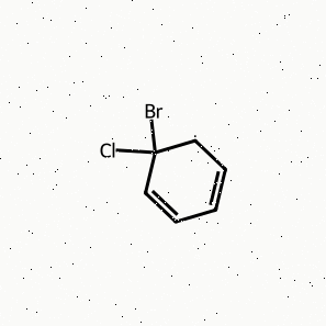 ClC1(Br)[CH]C=CC=C1